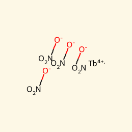 O=[N+]([O-])[O-].O=[N+]([O-])[O-].O=[N+]([O-])[O-].O=[N+]([O-])[O-].[Tb+4]